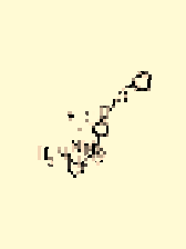 N=C(N)N1CCC[C@H]1c1nc(-c2ccc(OCCOCc3ccccc3)c(C(F)(F)F)c2)no1